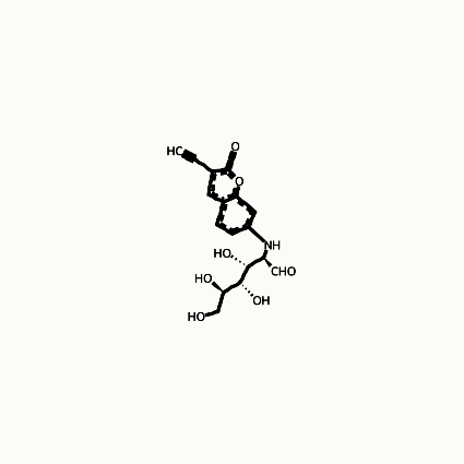 C#Cc1cc2ccc(N[C@@H](C=O)[C@@H](O)[C@H](O)[C@H](O)CO)cc2oc1=O